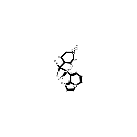 O=S(=O)(c1cccn2ccnc12)C(F)(F)C1CCN(Cl)CC1